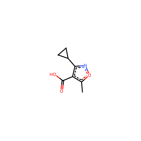 Cc1onc(C2CC2)c1C(=O)O